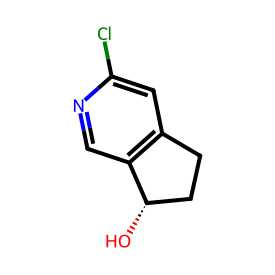 O[C@H]1CCc2cc(Cl)ncc21